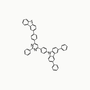 c1ccc(-c2ccc3c(c2)c2cc(-c4ccccc4)ccc2n3-c2ccc(-c3cc(-c4ccc(-c5ccc6sc7ccccc7c6c5)cc4)nc(-c4ccccc4)n3)cc2)cc1